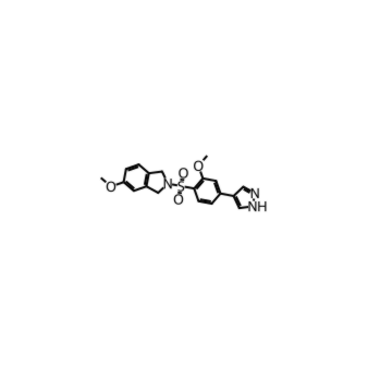 COc1ccc2c(c1)CN(S(=O)(=O)c1ccc(-c3cn[nH]c3)cc1OC)C2